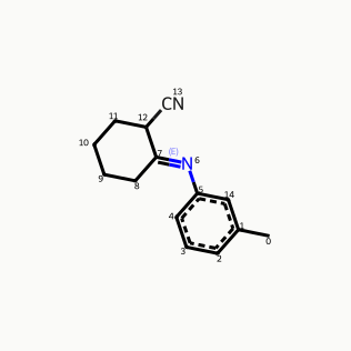 Cc1cccc(/N=C2\CCCCC2C#N)c1